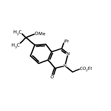 CCOC(=O)Cn1nc(C(C)C)c2cc(C(C)(C)OC)ccc2c1=O